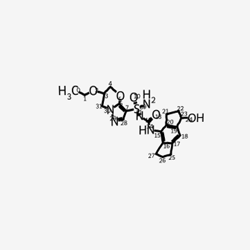 CCOC1COc2c(S(N)(=O)=NC(=O)Nc3c4c(cc5c3CCC5O)CCC4)cnn2C1